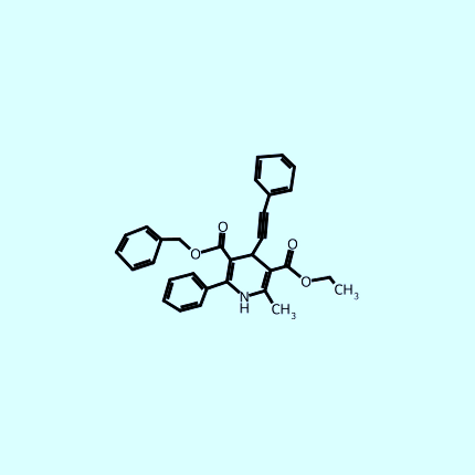 CCOC(=O)C1=C(C)NC(c2ccccc2)=C(C(=O)OCc2ccccc2)C1C#Cc1ccccc1